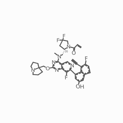 C#Cc1c(F)ccc2cc(O)cc(-c3ncc4c(N(C)C[C@@H]5CC(F)(F)CN5C(=O)C=C)nc(OCC56CCCN5CCC6)nc4c3F)c12